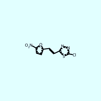 O=[N+]([O-])c1ccc(/C=C/c2nnc(Cl)s2)o1